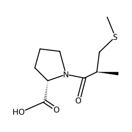 CSC[C@@H](C)C(=O)N1CCC[C@H]1C(=O)O